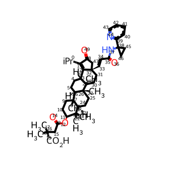 CC(C)C1=C2[C@H]3CC[C@@H]4C5(C)CC[C@H](OC(=O)CC(C)(C)C(=O)O)C(C)(C)[C@@H]5CC[C@@]4(C)[C@]3(C)CC[C@@]2(/C=C/C(=O)NC2(c3ccccn3)CC2)CC1=O